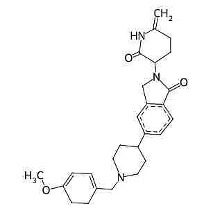 C=C1CCC(N2Cc3cc(C4CCN(CC5=CC=C(OC)CC5)CC4)ccc3C2=O)C(=O)N1